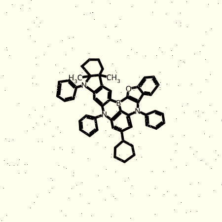 CC12CCCCC1(C)N(c1ccccc1)c1cc3c(cc12)B1c2oc4ccccc4c2N(c2ccccc2)c2cc(C4CCCCC4)cc(c21)N3c1ccccc1